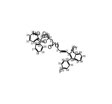 CC(C)n1c(C#CCO[PH](=O)CC(CC(=O)O)O[Si](c2ccccc2)(c2ccccc2)C(C)(C)C)c(-c2ccc(F)cc2)c2ccccc21